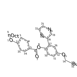 CCCCCCCCOc1ccc(C(=O)Oc2ccc(OCC(C)CC)cc2-c2cnccn2)cc1